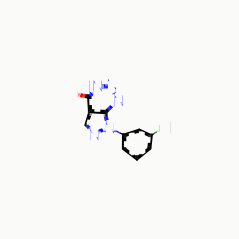 O=c1[nH]nnc2c1cnn2-c1cccc(Cl)c1